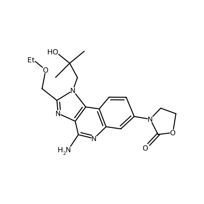 CCOCc1nc2c(N)nc3cc(N4CCOC4=O)ccc3c2n1CC(C)(C)O